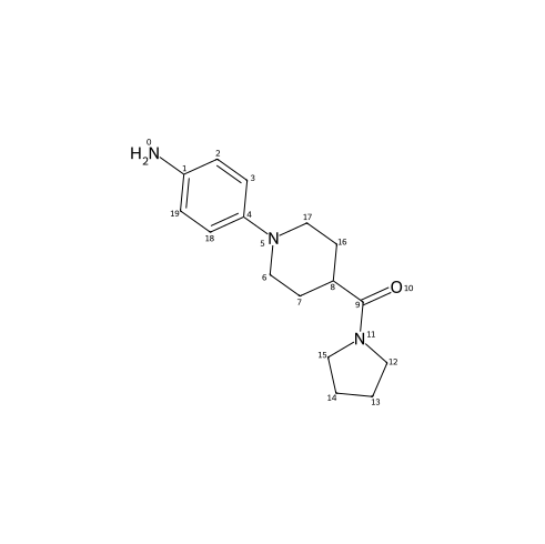 Nc1ccc(N2CCC(C(=O)N3CCCC3)CC2)cc1